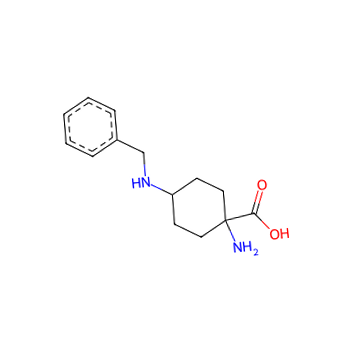 NC1(C(=O)O)CCC(NCc2ccccc2)CC1